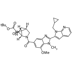 COc1cc(C(=O)N2C[C@H]3CC(=O)[C@@H]2[C@@H]3NC(=O)OC(C)(C)C)cc2nc(-c3cc4cccnc4n3CC3CC3)n(C)c12